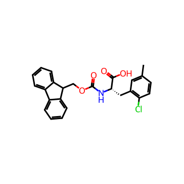 Cc1ccc(Cl)c(C[C@H](NC(=O)OCC2c3ccccc3-c3ccccc32)C(=O)O)c1